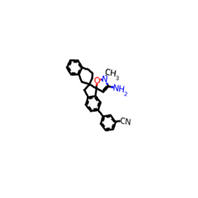 CN1OC2(C=C1N)c1cc(-c3cccc(C#N)c3)ccc1CC21CCCc2ccccc2C1